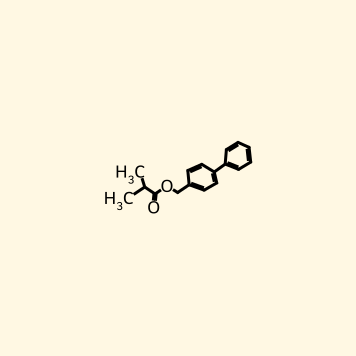 CC(C)C(=O)OCc1ccc(-c2ccccc2)cc1